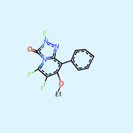 CCOc1c(F)c(F)n2c(=O)n(F)nc2c1-c1ccccc1